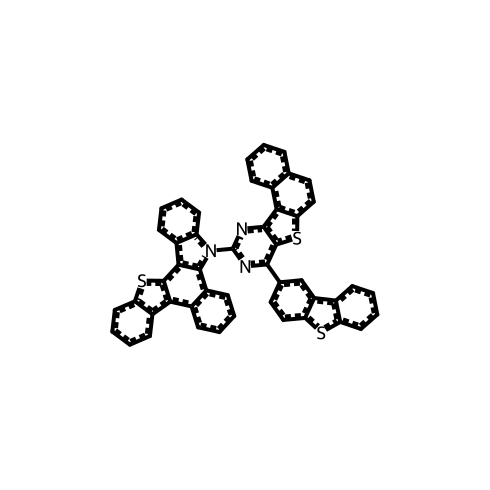 c1ccc2c(c1)ccc1sc3c(-c4ccc5sc6ccccc6c5c4)nc(-n4c5ccccc5c5c6sc7ccccc7c6c6ccccc6c54)nc3c12